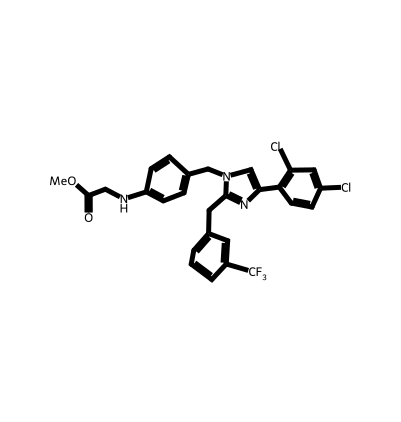 COC(=O)CNc1ccc(Cn2cc(-c3ccc(Cl)cc3Cl)nc2Cc2cccc(C(F)(F)F)c2)cc1